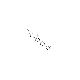 C=CCCC1CCC(c2ccc(-c3ccc(-c4ccc(CC)c(F)c4F)cc3)cc2F)OC1